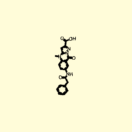 Cn1c2ccc(NC(=O)Cc3ccccc3)cc2c(=O)n2nc(C(=O)O)cc12